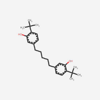 CC(C)(C)c1ccc(CCCCCc2ccc(C(C)(C)C)c(O)c2)cc1O